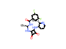 COc1ncccc1Nc1c(NC(NC(=O)c2cc(F)cc(F)c2)C(C)(C)C)c(=O)c1=O